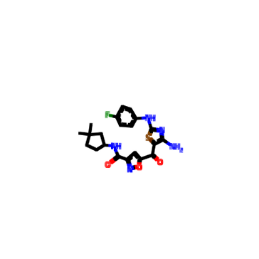 CC1(C)CCC(NC(=O)c2cc(C(=O)c3sc(Nc4ccc(F)cc4)nc3N)on2)C1